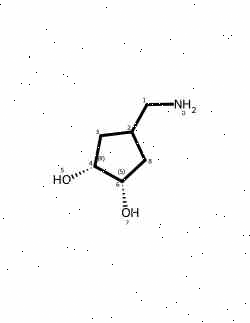 NCC1C[C@@H](O)[C@@H](O)C1